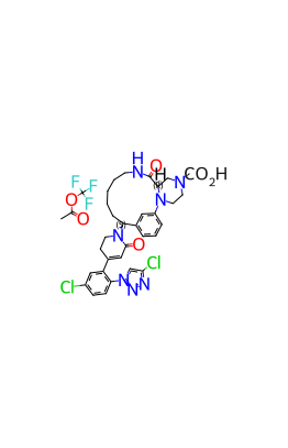 CC(=O)OC(F)(F)F.O=C1NCCCCC[C@H](N2CCC(c3cc(Cl)ccc3-n3cc(Cl)nn3)=CC2=O)c2cccc(c2)N2CCN(C(=O)O)C[C@H]12